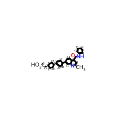 Cc1cc(C(=O)Nc2ccccc2)c2ccc(-c3ccc([C@H]4CC[C@H](CC(=O)O)CC4)cc3)cc2n1